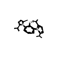 Cc1ccc(C(C)C)n1-c1cccc(-n2c(C(C)C)ccc2C(C)C)c1O